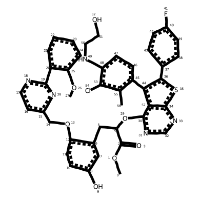 COC(=O)C(Cc1cc(O)ccc1OCc1ccnc(-c2ccccc2OC)n1)Oc1ncnc2sc(-c3ccc(F)cc3)c(-c3ccc(NCCO)c(Cl)c3C)c12